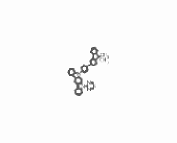 CC1(C)c2ccccc2-c2cc(-c3ccc(-n4c5ccccc5c5cc6c7ccccc7n(-c7ncncn7)c6cc54)cc3)ccc21